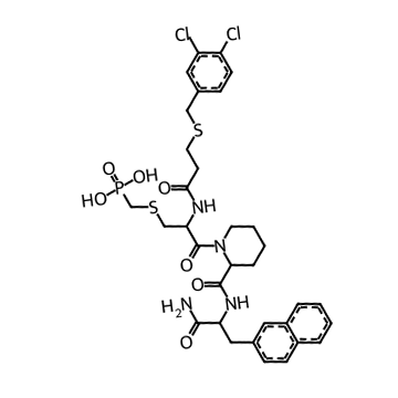 NC(=O)C(Cc1ccc2ccccc2c1)NC(=O)C1CCCCN1C(=O)C(CSCP(=O)(O)O)NC(=O)CCSCc1ccc(Cl)c(Cl)c1